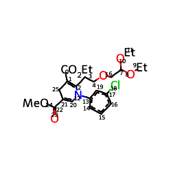 CCOC(=O)C1=C(CCOCC(OCC)OCC)N(c2cccc(Cl)c2)C=C(C(=O)OC)C1